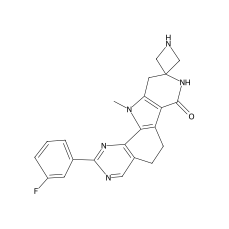 Cn1c2c(c3c1-c1nc(-c4cccc(F)c4)ncc1CC3)C(=O)NC1(CNC1)C2